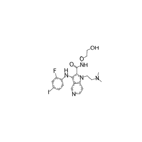 CN(C)CCn1c(C(=O)NOCCO)c(Nc2ccc(I)cc2F)c2cnccc21